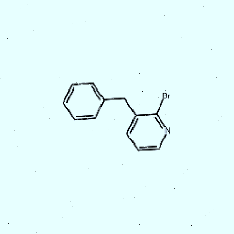 Brc1ncccc1Cc1ccccc1